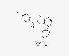 CCc1ncnc(N2CCC(C(=O)C3CC3)CC2)c1CN(C)C(=O)c1ccc(Br)cc1